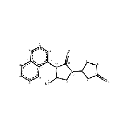 N#CC1CN(C2CCC(=O)C2)C(=O)N1c1cncc2ccccc12